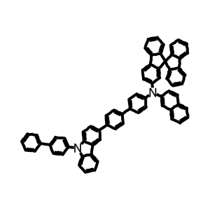 c1ccc(-c2ccc(-n3c4ccccc4c4cc(-c5ccc(-c6ccc(N(c7ccc8c(c7)C7(c9ccccc9-c9ccccc97)c7ccccc7-8)c7ccc8ccccc8c7)cc6)cc5)ccc43)cc2)cc1